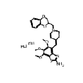 COc1c(OC)c(OC)c2sc(N)nc2c1CC1CCN(CC2COc3ccccc3O2)CC1.Cl.Cl